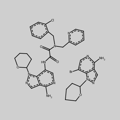 Nc1ncc(Br)c2c1cnn2C1CCCCO1.Nc1ncc(NC(=O)C(=O)N(Cc2ccccn2)Cc2ccccc2Cl)c2c1cnn2C1CCCCO1